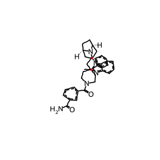 Cc1nc2ccccc2n1[C@H]1C[C@H]2CC[C@@H](C1)N2CCC1(c2ccccc2)CCN(C(=O)c2cccc(C(N)=O)c2)CC1